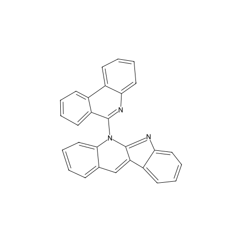 c1ccc2c(c1)cc1c3ccccc3nc-1n2-c1nc2ccccc2c2ccccc12